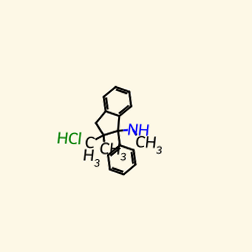 CNC1(c2ccccc2)c2ccccc2CC1(C)C.Cl